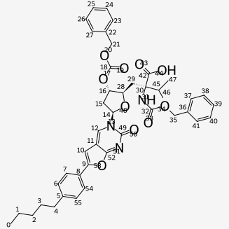 CCCCCc1ccc(-c2cc3cn([C@H]4C[C@H](OC(=O)OCc5ccccc5)[C@@H](C[C@](NC(=O)OCc5ccccc5)(C(=O)O)C(C)C)O4)c(=O)nc3o2)cc1